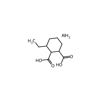 CCC1CCCC(C(=O)O)C1C(=O)O.[AlH3]